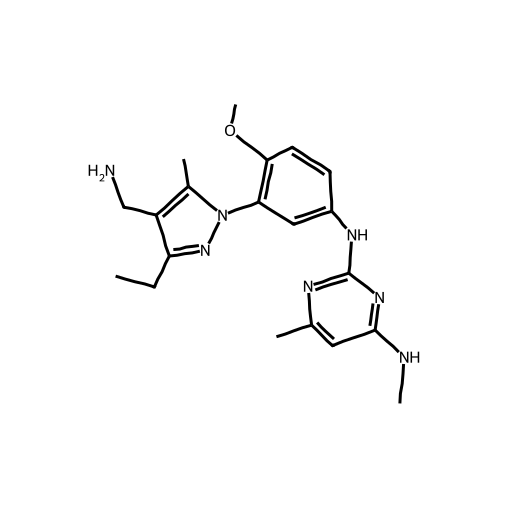 CCc1nn(-c2cc(Nc3nc(C)cc(NC)n3)ccc2OC)c(C)c1CN